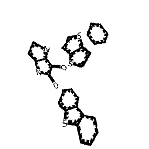 O=c1nc2ccnc-2c1=O.c1cc2sccc2s1.c1ccc2c(c1)sc1ccccc12.c1ccccc1